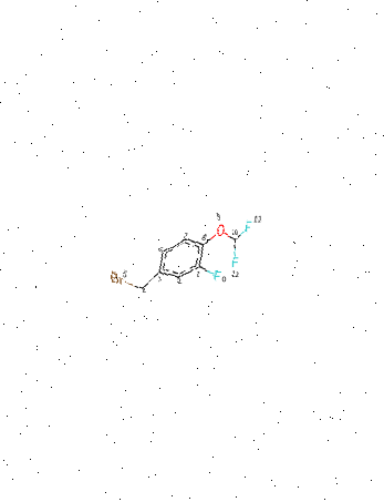 Fc1cc(CBr)ccc1OC(F)F